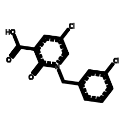 O=C(O)c1cc(Cl)cn(Cc2cccc(Cl)c2)c1=O